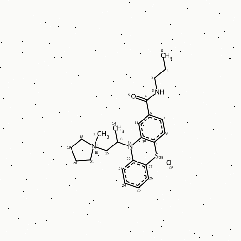 CCCNC(=O)c1ccc2c(c1)N(C(C)C[N+]1(C)CCCC1)c1ccccc1S2.[Cl-]